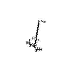 CCNC(=O)OCC(COC(=O)NCC)OCCCC(=O)NCCCCCCCCCCCCNC